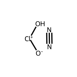 N#N.[O-][Cl+]O